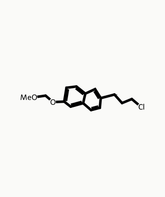 COCOc1ccc2cc([CH]CCCl)ccc2c1